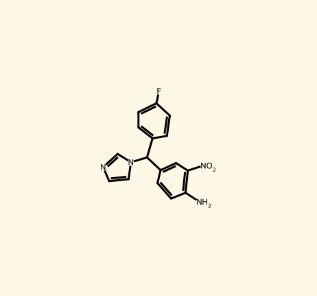 Nc1ccc(C(c2ccc(F)cc2)n2ccnc2)cc1[N+](=O)[O-]